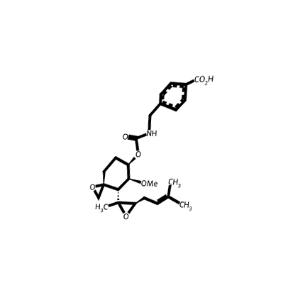 CO[C@H]1[C@H](C2(C)O[C@@H]2CC=C(C)C)[C@]2(CC[C@H]1OC(=O)NCc1ccc(C(=O)O)cc1)CO2